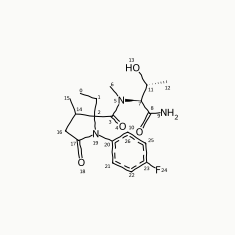 CCC1(C(=O)N(C)[C@H](C(N)=O)[C@@H](C)O)C(C)CC(=O)N1c1ccc(F)cc1